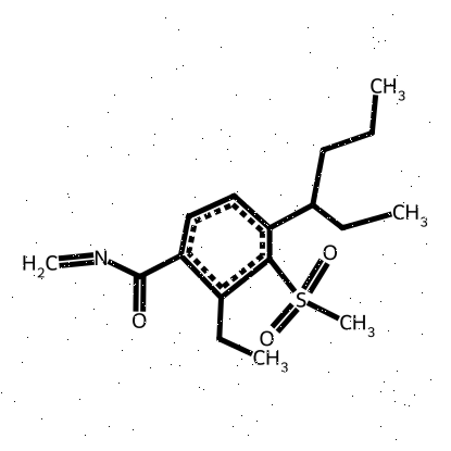 C=NC(=O)c1ccc(C(CC)CCC)c(S(C)(=O)=O)c1CC